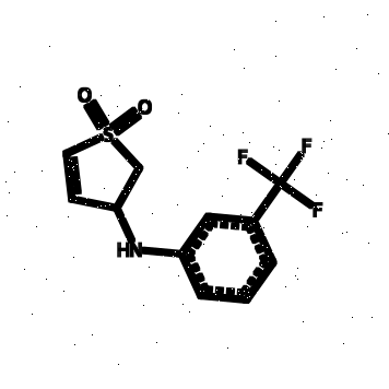 O=S1(=O)C=CC(Nc2cccc(C(F)(F)F)c2)C1